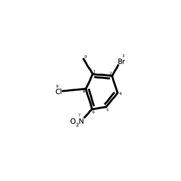 Cc1c(Br)ccc([N+](=O)[O-])c1Cl